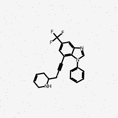 FC(F)(F)c1cc(C#CCC2CC=CCN2)c2c(c1)ncn2-c1ccccc1